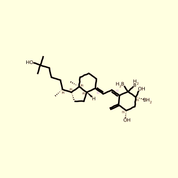 BC1(B)/C(=C/C=C2\CCC[C@]3(C)[C@@H]([C@H](C)CCCC(C)(C)O)CC[C@@H]23)C(=C)[C@@H](O)C[C@]1(B)O